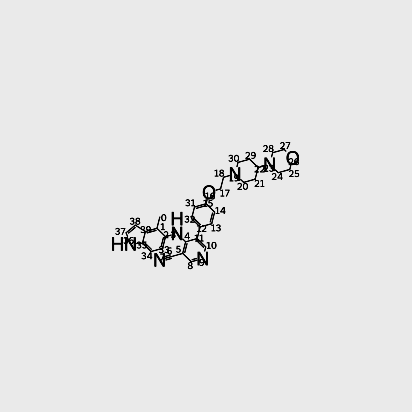 Cc1c(Nc2c(C#N)cncc2-c2ccc(OCCN3CCC(N4CCOCC4)CC3)cc2)ccc2[nH]ccc12